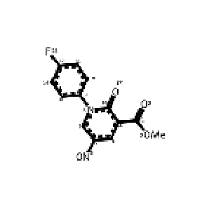 COC(=O)c1cc(N=O)cn(-c2ccc(F)cc2)c1=O